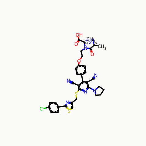 C[C@H](N)C(=O)N(CCOc1ccc(-c2c(C#N)c(SCc3csc(-c4ccc(Cl)cc4)n3)nc(N3CCCC3)c2C#N)cc1)[C@@H](C)C(=O)O